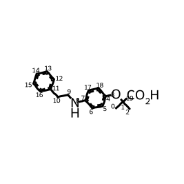 CC(C)(Oc1ccc(NCCc2ccccc2)cc1)C(=O)O